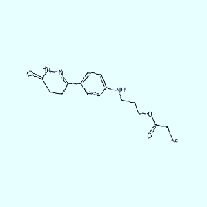 CC(=O)CC(=O)OCCCNc1ccc(C2=NNC(=O)CC2)cc1